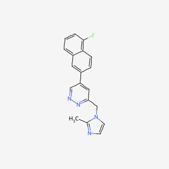 Cc1nccn1Cc1cc(-c2ccc3c(F)cccc3c2)cnn1